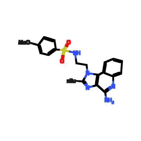 CCCCc1nc2c(N)nc3ccccc3c2n1CCNS(=O)(=O)c1ccc(OC)cc1